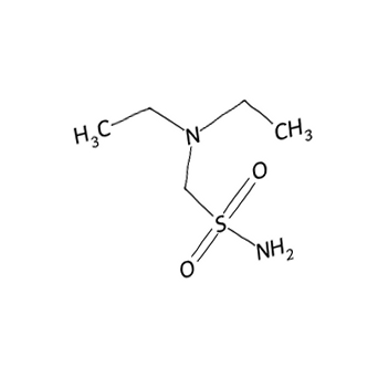 CCN(CC)CS(N)(=O)=O